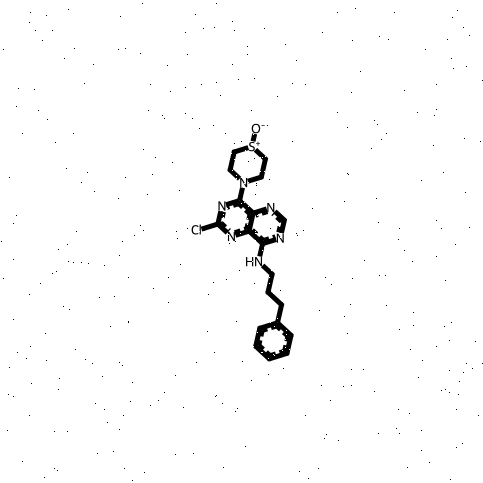 [O-][S+]1CCN(c2nc(Cl)nc3c(NCCCc4ccccc4)ncnc23)CC1